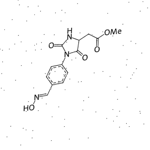 COC(=O)CC1NC(=O)N(c2ccc(C=NO)cc2)C1=O